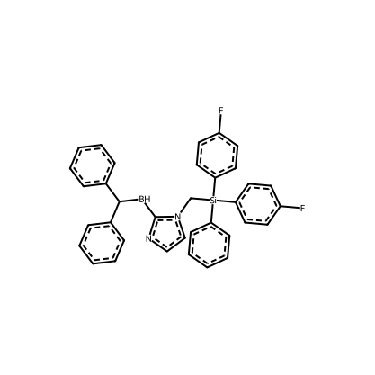 Fc1ccc([Si](Cn2ccnc2BC(c2ccccc2)c2ccccc2)(c2ccccc2)c2ccc(F)cc2)cc1